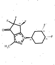 Cc1nn([C@@H]2CC[C@@H](F)[C@@H](F)C2)c2c1C(=O)C(F)(F)[C@H]2F